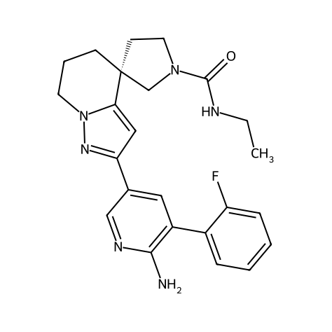 CCNC(=O)N1CC[C@]2(CCCn3nc(-c4cnc(N)c(-c5ccccc5F)c4)cc32)C1